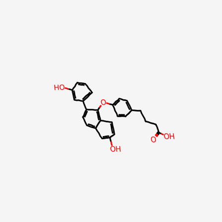 O=C(O)CCCc1ccc(Oc2c(-c3cccc(O)c3)ccc3cc(O)ccc23)cc1